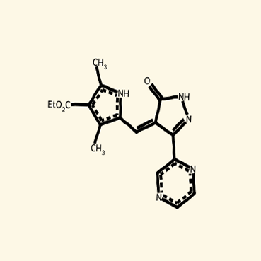 CCOC(=O)c1c(C)[nH]c(C=C2C(=O)NN=C2c2cnccn2)c1C